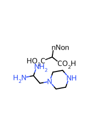 CCCCCCCCCC(C(=O)O)C(=O)O.NC(N)CN1CCNCC1